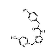 CC(C)c1ccc(CC(=O)Nc2ccn(Cc3ccc(O)cn3)n2)cc1